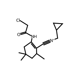 CC1CC(C)(C)CC(NC(=O)CCl)=C1C#[N+]CC1CC1